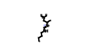 CCCCN/C=N/C(C)CN(C)C